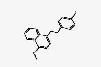 COc1ccc(CCc2ccc(F)cc2)c2ccccc12